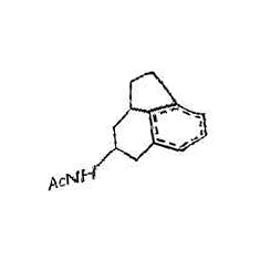 CC(=O)NC1Cc2cccc3c2C(CC3)C1